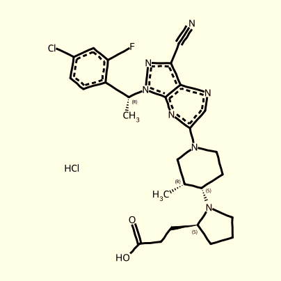 C[C@@H]1CN(c2cnc3c(C#N)nn([C@H](C)c4ccc(Cl)cc4F)c3n2)CC[C@@H]1N1CCC[C@H]1CCC(=O)O.Cl